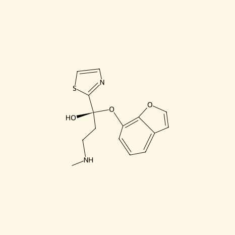 CNCC[C@@](O)(Oc1cccc2ccoc12)c1nccs1